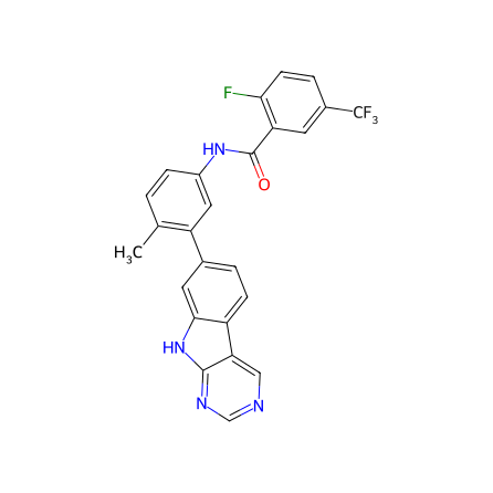 Cc1ccc(NC(=O)c2cc(C(F)(F)F)ccc2F)cc1-c1ccc2c(c1)[nH]c1ncncc12